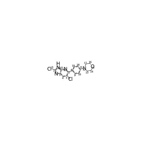 Clc1nc2cc(Cl)c(-c3ccc(N4CCOCC4)cc3)nc2[nH]1